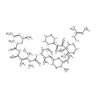 C/C=C/[C@@H](C)C[C@@H](C)C(=O)[C@H](OC)[C@H](O)/C(C)=C/[C@@H](C)C(=O)C[C@H](OC(=O)[C@@H]1CCCCN1C(=O)C(=O)[C@]1(O)O[C@H](CC/C(C)=C/C)CC[C@H]1C)[C@H](C)C[C@@H]1CC[C@@H](O)[C@H](OC)C1